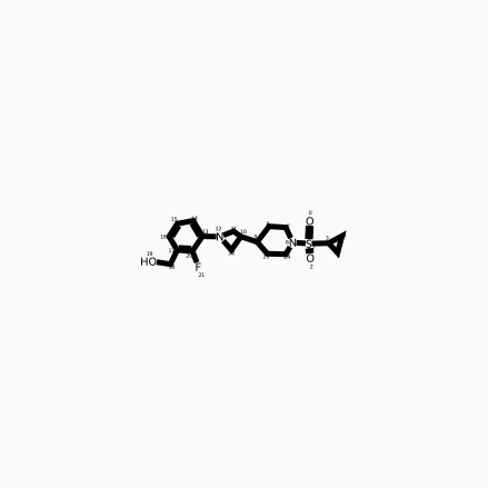 O=S(=O)(C1CC1)N1CCC(C2CN(c3cccc(CO)c3F)C2)CC1